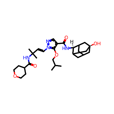 CC(C)COc1c(C(=O)N[C@H]2C3CC4CC2C[C@@](O)(C4)C3)cnn1/C=C/C(C)(C)NC(=O)C1CCOCC1